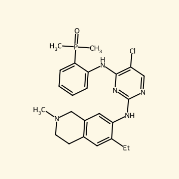 CCc1cc2c(cc1Nc1ncc(Cl)c(Nc3ccccc3P(C)(C)=O)n1)CN(C)CC2